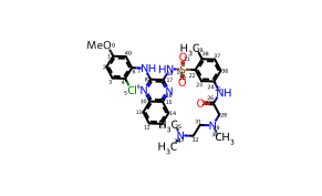 COc1ccc(Cl)c(Nc2nc3ccccc3nc2NS(=O)(=O)c2cc(NC(=O)CN(C)CCN(C)C)ccc2C)c1